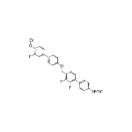 CCCCCc1ccc(-c2ccc(COc3ccc(-c4ccc(OCC)c(F)c4)cc3)c(F)c2F)cc1